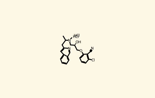 CC(Cc1cc2ccccc2cn1)N(C)C[C@@H](O)COc1cccc(Cl)c1C#N.Cl.Cl